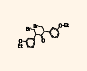 CCOc1cccc(C(CBr)C(=O)C(CBr)c2cccc(OCC)c2)c1